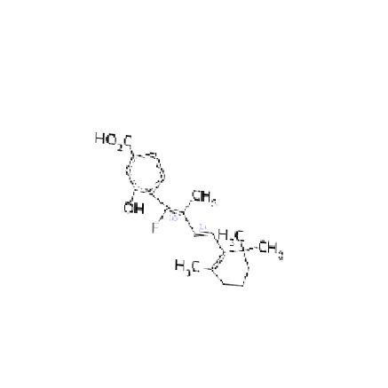 CC1=C(/C=C/C(C)=C(\F)c2ccc(C(=O)O)cc2O)C(C)(C)CCC1